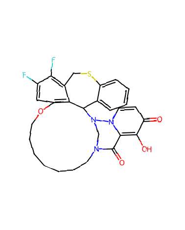 O=C1c2c(O)c(=O)ccn2N2CN1CCCCCCCOc1cc(F)c(F)c3c1C2c1ccccc1SC3